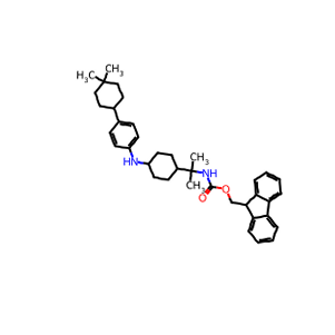 CC1(C)CCC(c2ccc(NC3CCC(C(C)(C)NC(=O)OCC4c5ccccc5-c5ccccc54)CC3)cc2)CC1